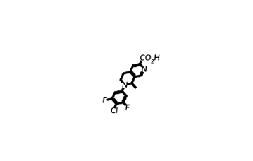 CC1c2cnc(C(=O)O)cc2CCN1c1cc(F)c(Cl)c(F)c1